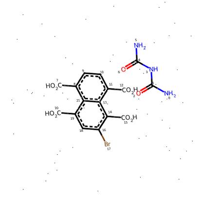 NC(=O)NC(N)=O.O=C(O)c1ccc(C(=O)O)c2c(C(=O)O)c(Br)cc(C(=O)O)c12